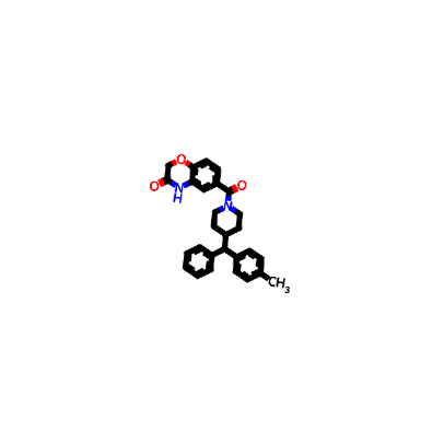 Cc1ccc(C(c2ccccc2)C2CCN(C(=O)c3ccc4c(c3)NC(=O)CO4)CC2)cc1